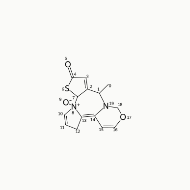 CC1C2=CC(=O)SC2[N+]2([O-])C=CCC2=C2C=COCN21